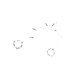 CC(/C=N/C(=N)C(=O)CC/C=C/[C@H]1COc2ccccc2N(C)C1=O)CCc1ccccc1